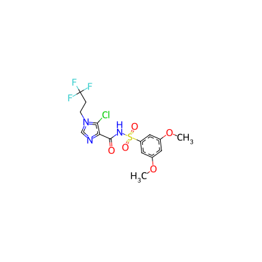 COc1cc(OC)cc(S(=O)(=O)NC(=O)c2ncn(CCC(F)(F)F)c2Cl)c1